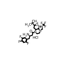 CN(C)C(=O)CC1C2=NN(C(F)(F)F)CN2CCN1C(=O)C[C@H](N)Cc1cc(F)c(F)cc1F.Cl